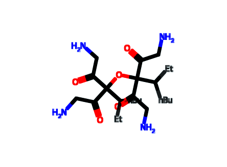 CCCCC(CC)C(OC(C(=O)CN)(C(=O)CN)C(CC)CCCC)(C(=O)CN)C(=O)CN